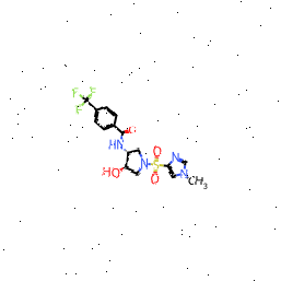 Cn1cnc(S(=O)(=O)N2C[C@@H](O)[C@H](NC(=O)c3ccc(C(F)(F)F)cc3)C2)c1